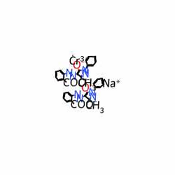 Cc1nn(-c2ccccc2)c([O-])c1N=Nc1ccccc1C(=O)[O-].Cc1nn(-c2ccccc2)c([O-])c1N=Nc1ccccc1C(=O)[O-].[Cr+3].[Na+]